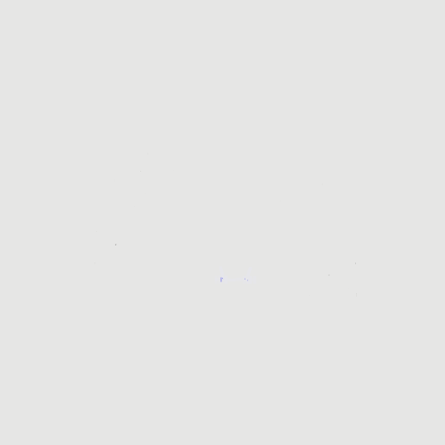 CC(C)(C)c1cc(C=CC2=CC(c3cc(C(C)(C)C)cc(C(C)(C)C)c3)NN2)cc(C(C)(C)C)c1